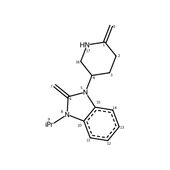 C=C1CCC(N2C(=C)N(C(C)C)c3ccccc32)CN1